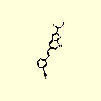 COC(=O)c1cc2cc(/C=C/c3cccc(C#N)c3)c[nH]c-2n1